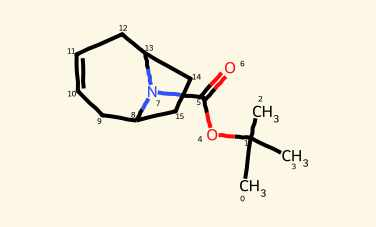 CC(C)(C)OC(=O)N1C2CC=CCC1CC2